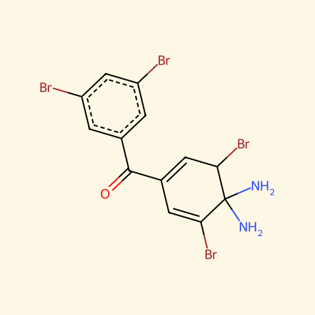 NC1(N)C(Br)=CC(C(=O)c2cc(Br)cc(Br)c2)=CC1Br